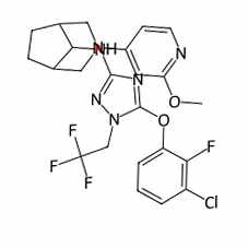 COc1cc(N2CC3CCC(C2)C3Nc2nc(Oc3cccc(Cl)c3F)n(CC(F)(F)F)n2)ccn1